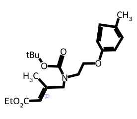 CCOC(=O)/C=C(\C)CN(CCOc1ccc(C)cc1)C(=O)OC(C)(C)C